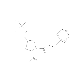 CC(C)(C)CO[C@@H]1C[C@@H](C(=O)O)N(C(=O)OCc2ccccc2)C1